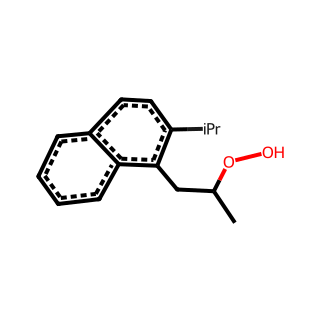 CC(Cc1c(C(C)C)ccc2ccccc12)OO